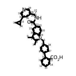 Cc1c(C)n(Cc2ccc(-c3ccccc3C(=O)O)cc2)c2ccc(C(=O)N[C@@H](C)c3cncc(C4CC4)c3)cc12